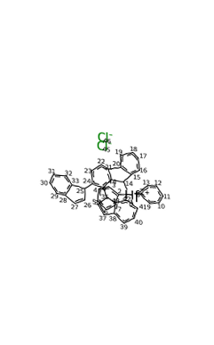 [CH3][Hf+2]([c]1ccccc1)([c]1ccccc1)[CH]1c2ccccc2-c2ccc(C3C=Cc4ccccc43)c(C3C=Cc4ccccc43)c21.[Cl-].[Cl-]